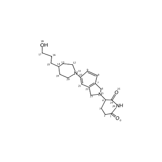 O=C1CCC(N2Cc3ccc(N4CCC(CCCO)CC4)cc3C2)C(=O)N1